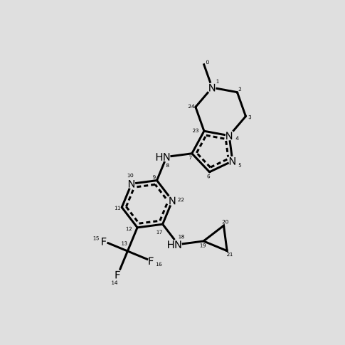 CN1CCn2ncc(Nc3ncc(C(F)(F)F)c(NC4CC4)n3)c2C1